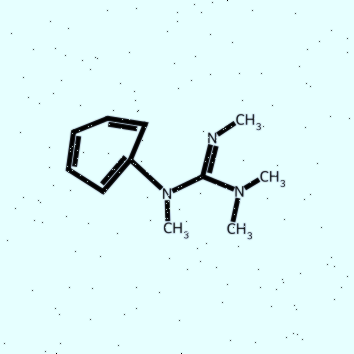 CN=C(N(C)C)N(C)c1ccccc1